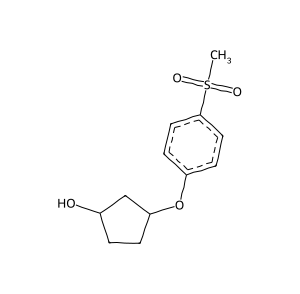 CS(=O)(=O)c1ccc(OC2CCC(O)C2)cc1